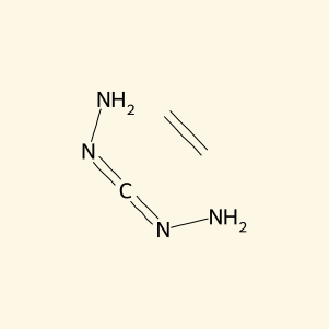 C=C.NN=C=NN